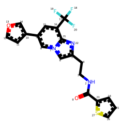 O=C(NCCc1cn2cc(-c3ccoc3)cc(C(F)(F)F)c2n1)c1cccs1